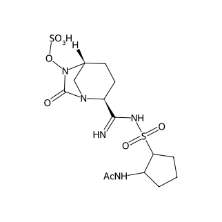 CC(=O)NC1CCCC1S(=O)(=O)NC(=N)[C@@H]1CC[C@@H]2CN1C(=O)N2OS(=O)(=O)O